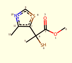 COC(=O)C(C)(S)c1scnc1C